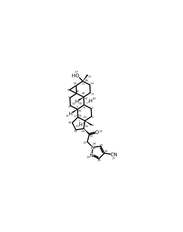 C[C@]12CC[C@H]3[C@@H](CCC45CC4[C@](C)(O)CC[C@H]35)[C@@H]1CC[C@@H]2C(=O)Cn1cc(C#N)cn1